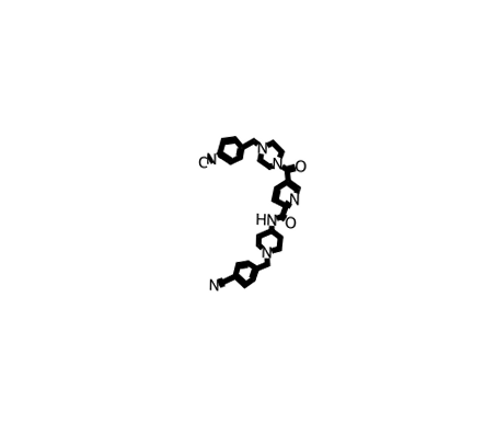 [C-]#[N+]c1ccc(CN2CCN(C(=O)c3ccc(C(=O)NC4CCN(Cc5ccc(C#N)cc5)CC4)nc3)CC2)cc1